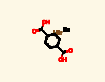 Br.O=C(O)c1ccc(C(=O)O)cc1.[Ru]